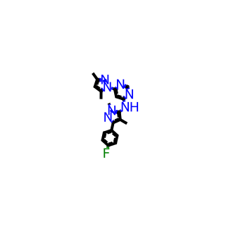 Cc1cc(C)n(-c2cc(Nc3c(C)c(-c4ccc(F)cc4)nn3C)ncn2)n1